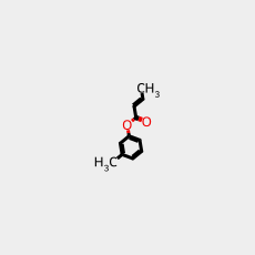 C/C=C/C(=O)Oc1cccc(C)c1